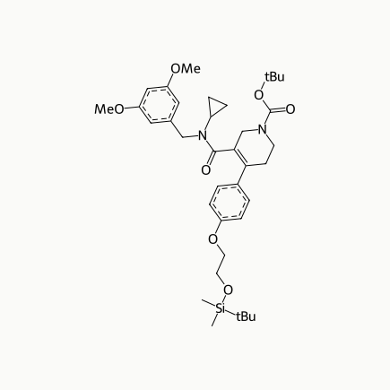 COc1cc(CN(C(=O)C2=C(c3ccc(OCCO[Si](C)(C)C(C)(C)C)cc3)CCN(C(=O)OC(C)(C)C)C2)C2CC2)cc(OC)c1